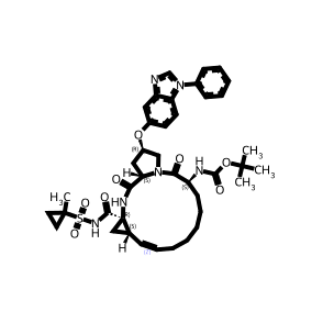 CC(C)(C)OC(=O)N[C@H]1CCCCC/C=C\[C@@H]2C[C@@]2(C(=O)NS(=O)(=O)C2(C)CC2)NC(=O)[C@@H]2C[C@@H](Oc3ccc4c(c3)ncn4-c3ccccc3)CN2C1=O